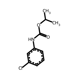 CC(C)OC(=O)Nc1cc[c]c(Cl)c1